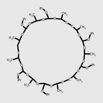 CC(C)OC1OC(C)CCC(C)OC(OC(C)C)OC(C)OC(OC(C)C)OC(C)CCC(C)OC(OC(C)C)OC(C)OC(OC(C)C)OC(C)CCC(C)OC(OC(C)C)OC(C)O1